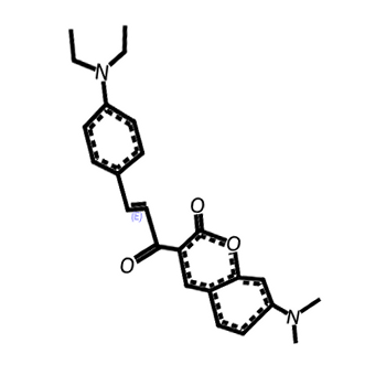 CCN(CC)c1ccc(/C=C/C(=O)c2cc3ccc(N(C)C)cc3oc2=O)cc1